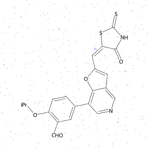 CC(C)Oc1ccc(-c2cncc3cc(/C=C4/SC(=S)NC4=O)oc23)cc1C=O